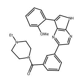 CCN1CCN(C(=O)c2cccc(-c3cnc4[nH]cc(-c5ccccc5OC)c4n3)c2)CC1